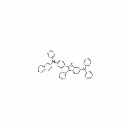 c1ccc(N(c2ccccc2)c2ccc3c(c2)sc2c4ccc(N(c5ccccc5)c5ccc6ccccc6c5)cc4c4ccccc4c32)cc1